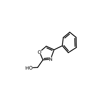 OCc1nc(-c2ccccc2)co1